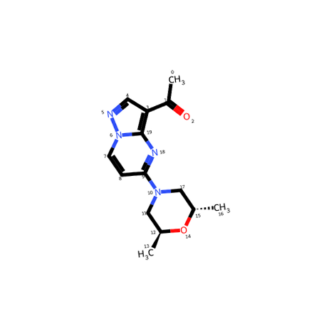 CC(=O)c1cnn2ccc(N3C[C@H](C)O[C@@H](C)C3)nc12